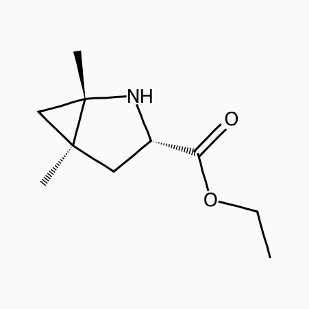 CCOC(=O)[C@@H]1C[C@@]2(C)C[C@]2(C)N1